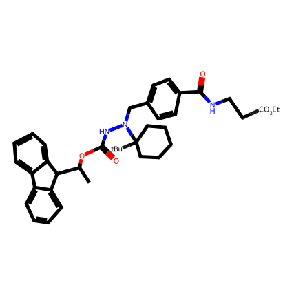 CCOC(=O)CCNC(=O)c1ccc(CN(NC(=O)OC(C)C2c3ccccc3-c3ccccc32)C2(C(C)(C)C)CCCCC2)cc1